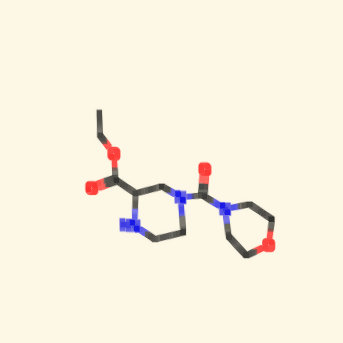 CCOC(=O)C1CN(C(=O)N2CCOCC2)CCN1